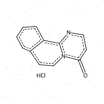 Cl.O=c1ccnc2c3ccccc3ccn12